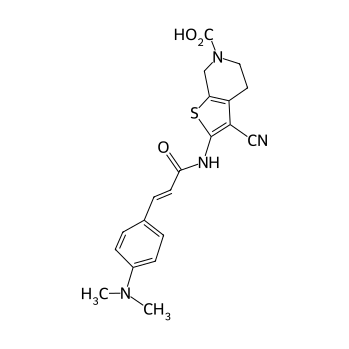 CN(C)c1ccc(C=CC(=O)Nc2sc3c(c2C#N)CCN(C(=O)O)C3)cc1